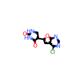 O=c1[nH]cc(-c2cc3c(Cl)ncnc3o2)c(=O)[nH]1